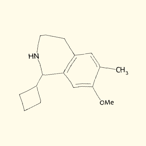 COc1cc2c(cc1C)CCNC2C1CCC1